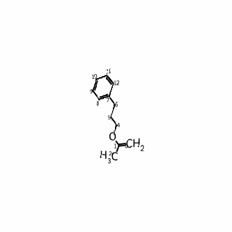 C=C(C)OCCCc1ccccc1